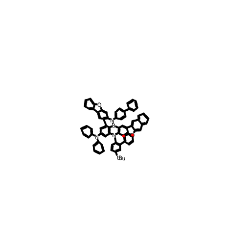 CC(C)(C)c1ccc(N2c3cc4oc5cc6ccccc6cc5c4cc3B3c4c(cc(N(c5ccccc5)c5ccccc5)cc42)-c2cc4c(cc2N3c2ccc(-c3ccccc3)cc2)oc2ccccc24)c(-c2ccccc2)c1